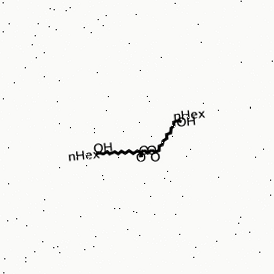 CCCCCCC(O)CCCCCCCCCCC(=O)OCOC(=O)CCCCCCCCCCC(O)CCCCCC